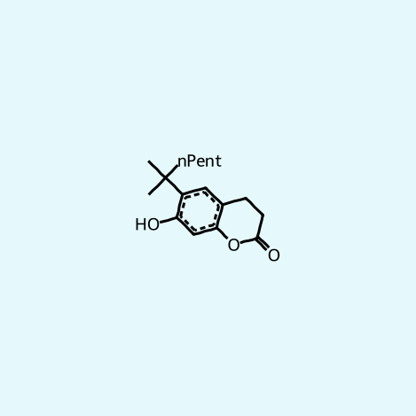 CCCCCC(C)(C)c1cc2c(cc1O)OC(=O)CC2